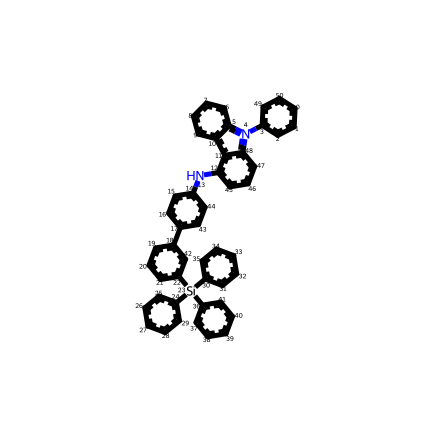 c1ccc(-n2c3ccccc3c3c(Nc4ccc(-c5cccc([Si](c6ccccc6)(c6ccccc6)c6ccccc6)c5)cc4)cccc32)cc1